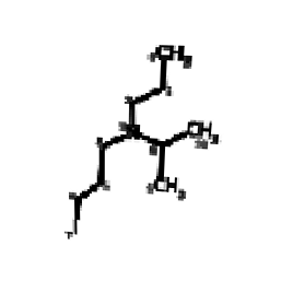 CCCN(CCCI)C(C)C